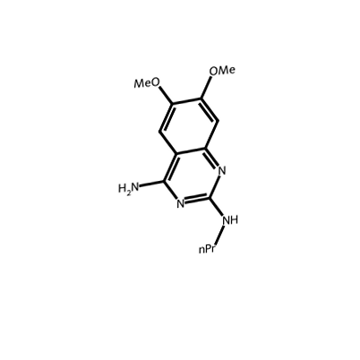 CCCNc1nc(N)c2cc(OC)c(OC)cc2n1